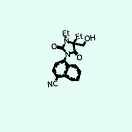 CCN1C(=O)N(c2ccc(C#N)c3ccccc23)C(=O)C1(CC)CO